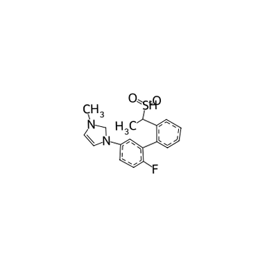 CC(c1ccccc1-c1cc(N2C=CN(C)C2)ccc1F)[SH](=O)=O